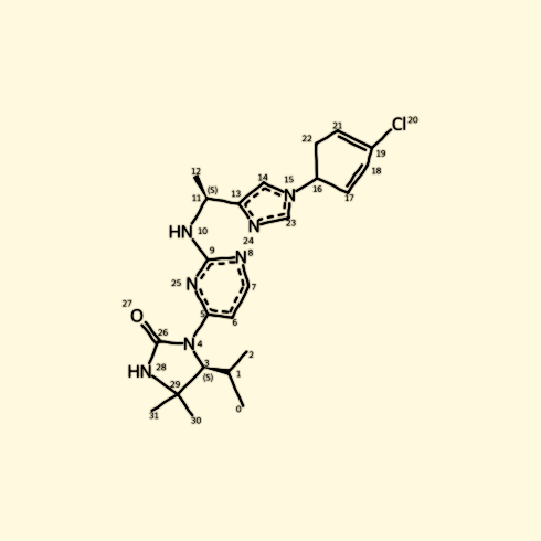 CC(C)[C@@H]1N(c2ccnc(N[C@@H](C)c3cn(C4C=CC(Cl)=CC4)cn3)n2)C(=O)NC1(C)C